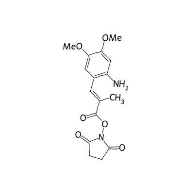 COc1cc(N)c(/C=C(\C)C(=O)ON2C(=O)CCC2=O)cc1OC